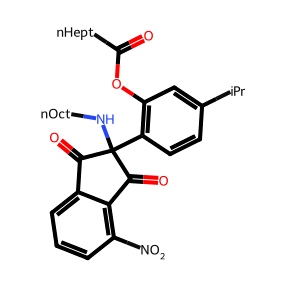 CCCCCCCCNC1(c2ccc(C(C)C)cc2OC(=O)CCCCCCC)C(=O)c2cccc([N+](=O)[O-])c2C1=O